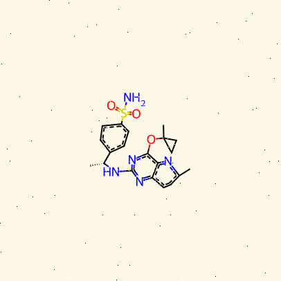 Cc1ccc2nc(N[C@H](C)c3ccc(S(N)(=O)=O)cc3)nc(OC3(C)CC3)c2n1